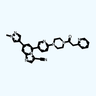 Cn1cc(-c2cc(-c3ccc(N4CCN(C(=O)Cc5ccccn5)CC4)nc3)n3c(C#N)cnc3c2)cn1